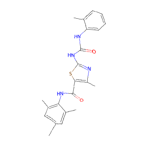 Cc1cc(C)c(NC(=O)c2sc(NC(=O)Nc3ccccc3C)nc2C)c(C)c1